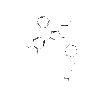 CCCc1c(-c2ccccc2)c(-c2ccc(F)c(F)c2)nn1C[C@H]1CC[C@@H](COCC(=O)O)CC1